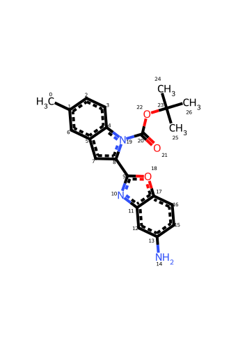 Cc1ccc2c(c1)cc(-c1nc3cc(N)ccc3o1)n2C(=O)OC(C)(C)C